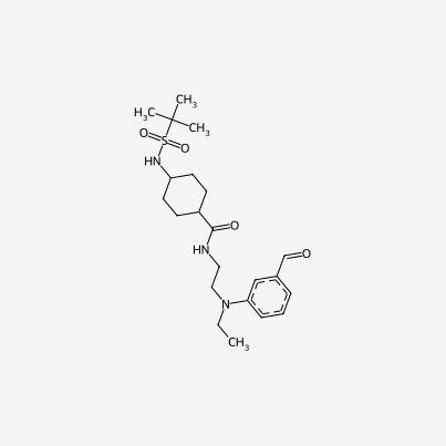 CCN(CCNC(=O)C1CCC(NS(=O)(=O)C(C)(C)C)CC1)c1cccc(C=O)c1